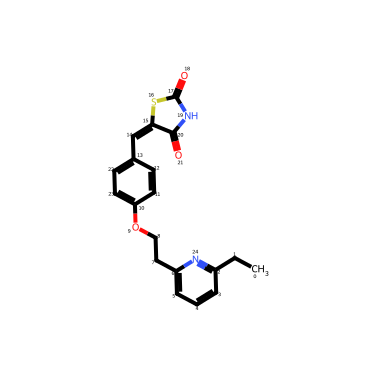 CCc1cccc(CCOc2ccc(C=C3SC(=O)NC3=O)cc2)n1